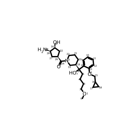 COCCCCC(O)(c1ccccc1OCC1CC1)[C@@H]1CCCN(C(=O)[C@H]2C[C@@H](N)[C@@H](O)C2)C1